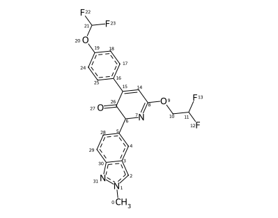 Cn1cc2cc(C3N=C(OCC(F)F)C=C(c4ccc(OC(F)F)cc4)C3=O)ccc2n1